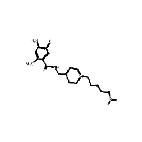 COc1cc(N)c(Cl)cc1C(=O)NCC1CCN(CCCCCN(C)C)CC1